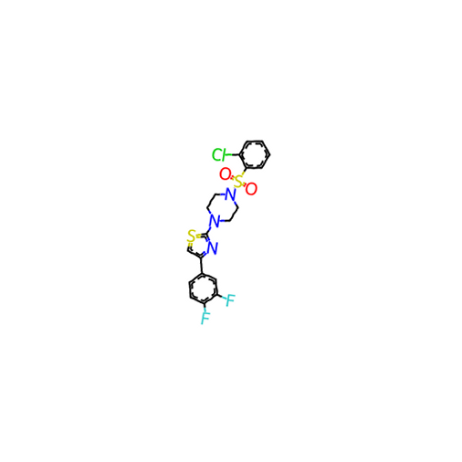 O=S(=O)(c1ccccc1Cl)N1CCN(c2nc(-c3ccc(F)c(F)c3)cs2)CC1